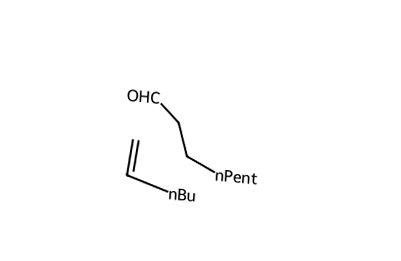 C=CCCCC.CCCCCCCC=O